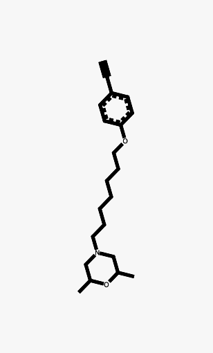 C#Cc1ccc(OCCCCCCCN2CC(C)OC(C)C2)cc1